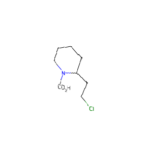 O=C(O)N1CCCCC1CCCl